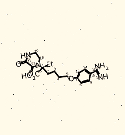 CCC(CCCCOc1ccc(C(=N)N)cc1)(C(=O)O)N1CCNC(=O)C1=O